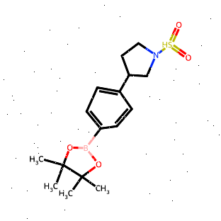 CC1(C)OB(c2ccc(C3CCN([SH](=O)=O)C3)cc2)OC1(C)C